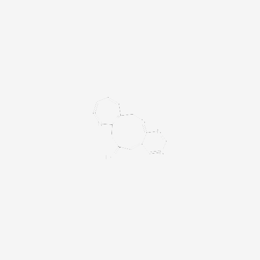 C=C1/C=c2/cncn/c2=N/CC2=C(N=C=CC=C2)S1